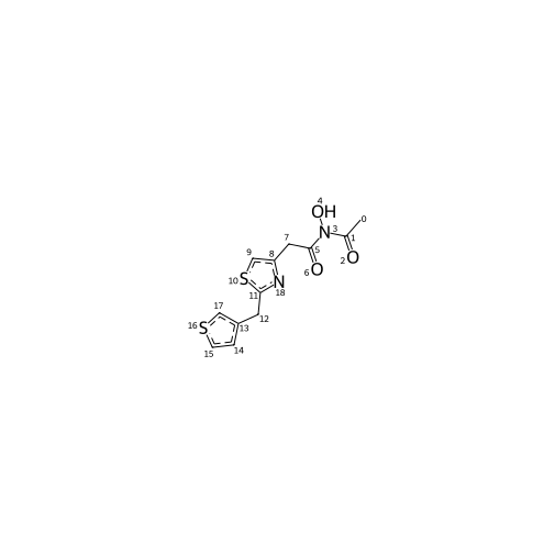 CC(=O)N(O)C(=O)Cc1csc(Cc2ccsc2)n1